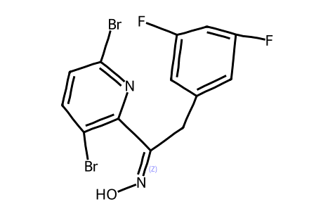 O/N=C(/Cc1cc(F)cc(F)c1)c1nc(Br)ccc1Br